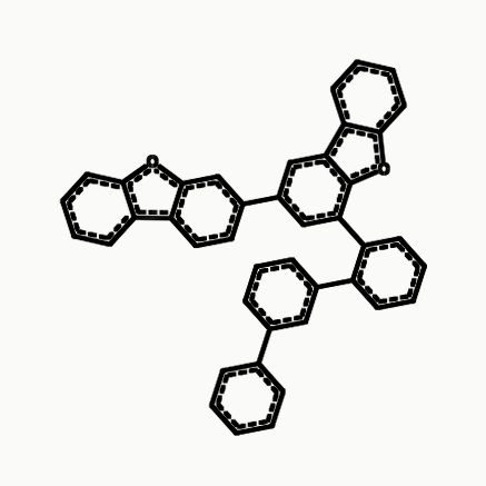 c1ccc(-c2cccc(-c3ccccc3-c3cc(-c4ccc5c(c4)oc4ccccc45)cc4c3oc3ccccc34)c2)cc1